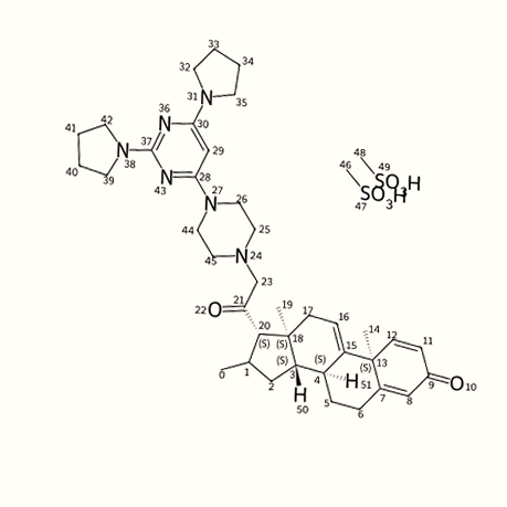 CC1C[C@H]2[C@@H]3CCC4=CC(=O)C=C[C@]4(C)C3=CC[C@]2(C)[C@H]1C(=O)CN1CCN(c2cc(N3CCCC3)nc(N3CCCC3)n2)CC1.CS(=O)(=O)O.CS(=O)(=O)O